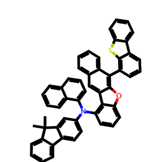 CC1(C)c2ccccc2-c2ccc(N(c3cccc4ccccc34)c3cccc4oc5c(-c6cccc7c6sc6ccccc67)c6ccccc6cc5c34)cc21